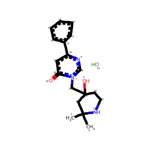 CC1(C)CC(O)(Cn2cnc(-c3ccccc3)cc2=O)CCN1.Cl